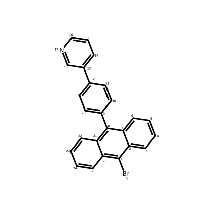 Brc1c2ccccc2c(-c2ccc(-c3cccnc3)cc2)c2ccccc12